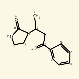 CC(CC(=O)c1ccccc1)N1CCOC1=O